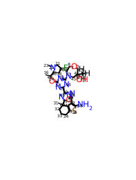 [2H]C([2H])([2H])[C@@]1(O)COCCN(c2nc(O[C@@H](C)[C@@H]3C[C@@H](F)CN3C)nc(-c3noc([C@@]4(C)CCCc5sc(N)c(C#N)c54)n3)n2)C1